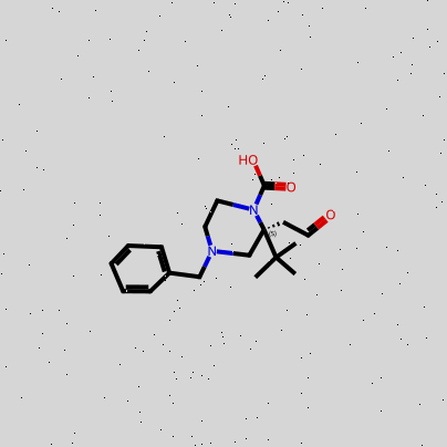 CC(C)(C)[C@@]1(CC=O)CN(Cc2ccccc2)CCN1C(=O)O